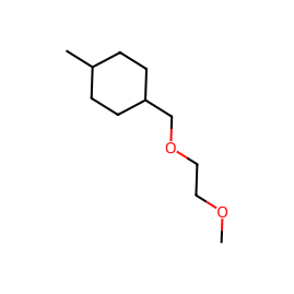 COCCOCC1CCC(C)CC1